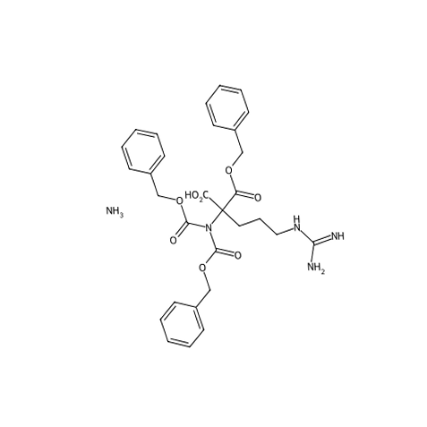 N.N=C(N)NCCCC(C(=O)O)(C(=O)OCc1ccccc1)N(C(=O)OCc1ccccc1)C(=O)OCc1ccccc1